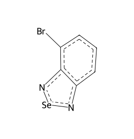 Brc1cccc2n[se]nc12